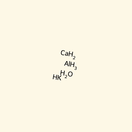 O.[AlH3].[CaH2].[KH]